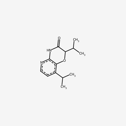 CC(C)c1ccnc2c1OC(C(C)C)C(=O)N2